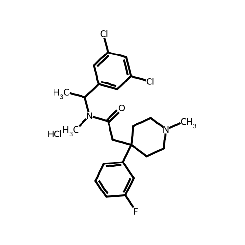 CC(c1cc(Cl)cc(Cl)c1)N(C)C(=O)CC1(c2cccc(F)c2)CCN(C)CC1.Cl